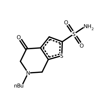 CCCCN1CC(=O)c2cc(S(N)(=O)=O)sc2C1